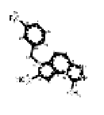 Cc1nnc2ccc3c(cc(C(=O)O)n3Cc3cccc(C(F)(F)F)c3)n12